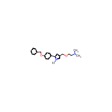 CCn1cc(COCCN(C)C)cc1-c1ccc(OCc2ccccc2)cc1